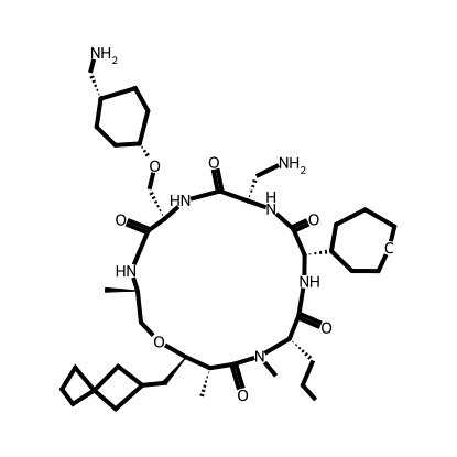 CCC[C@H]1C(=O)N[C@@H](C2CCCCCC2)C(=O)N[C@@H](CN)C(=O)N[C@@H](CO[C@H]2CC[C@@H](CN)CC2)C(=O)N[C@H](C)CO[C@H](CC2CC3(CCC3)C2)[C@@H](C)C(=O)N1C